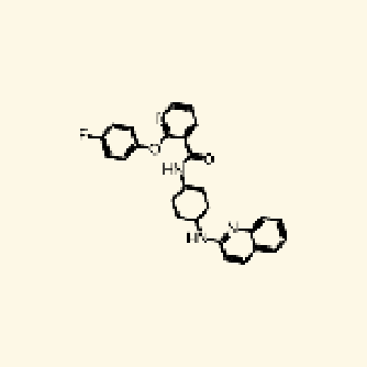 O=C(NC1CCC(Nc2ccc3ccccc3n2)CC1)c1cccnc1Oc1ccc(F)cc1